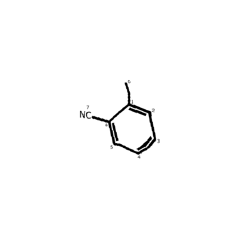 Cc1cc[c]cc1C#N